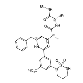 CCNC(=O)[C@@H](NC(=O)[C@H](C)NC[C@H](Cc1ccccc1)NC(=O)c1cc(C(=O)O)cc(N2CCCNS2(=O)=O)c1)C(C)C